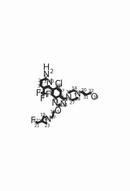 Nc1ccc(C(F)(F)F)c(-c2cc3nc(OCCN4CC(CF)C4)nc(N4CCN(C=CC=O)CC4)c3cc2Cl)n1